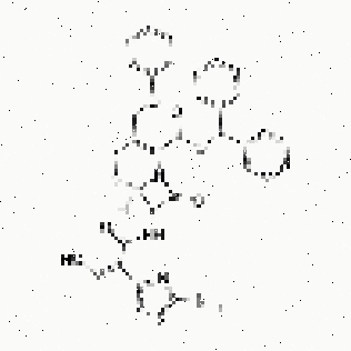 Nc1nc(/C(=N/O)C(=O)NC2C(=O)N3C(C(=O)OC(c4ccccc4)c4ccccc4)=C(COc4ccccc4)CS[C@H]23)cs1